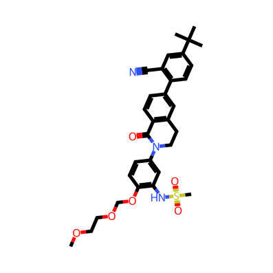 COCCOCOc1ccc(N2CCc3cc(-c4ccc(C(C)(C)C)cc4C#N)ccc3C2=O)cc1NS(C)(=O)=O